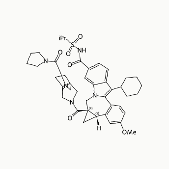 COc1ccc2c(c1)[C@@H]1C[C@]1(C(=O)N1CC34CCC3(CN(C(=O)N3CCCC3)C4)C1)Cn1c-2c(C2CCCCC2)c2ccc(C(=O)NS(=O)(=O)C(C)C)cc21